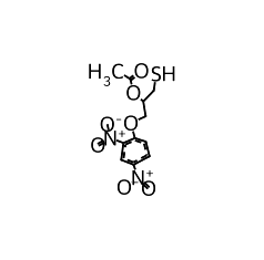 CC(=O)OC(CS)COc1ccc([N+](=O)[O-])cc1[N+](=O)[O-]